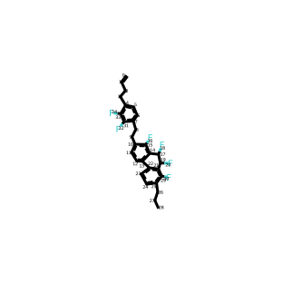 C=CCCc1ccc(CCc2ccc3c(c2F)C(F)C(F)c2c-3ccc(CCC)c2F)c(F)c1F